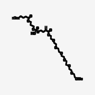 CCCCCCCCCCCCCC(=O)OCCCOP(=O)(O)OCCNC(=O)OCCOCCOCCOCCOCCOCCOCCOC